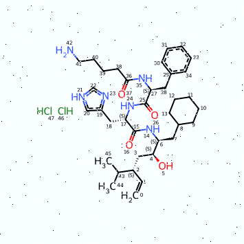 C=C[C@@H](C[C@H](O)[C@H](CC1CCCCC1)NC(=O)[C@H](Cc1c[nH]cn1)NC(=O)[C@H](Cc1ccccc1)NC(=O)CCCCN)C(C)C.Cl.Cl